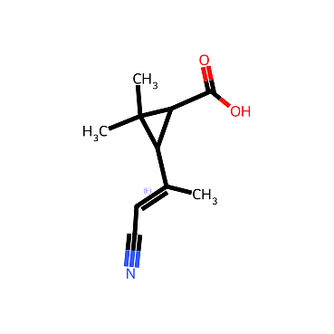 C/C(=C\C#N)C1C(C(=O)O)C1(C)C